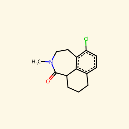 CN1CCc2c(Cl)ccc3c2C(CCC3)C1=O